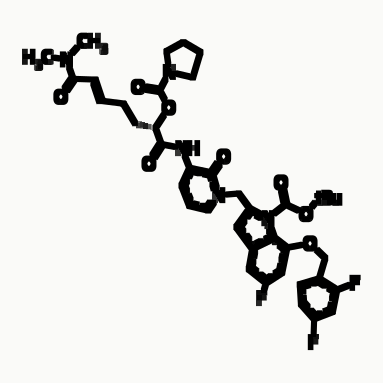 CN(C)C(=O)/C=C/CC[C@H](OC(=O)N1CCCC1)C(=O)Nc1cccn(Cc2cc3cc(F)cc(OCc4ccc(F)cc4F)c3n2C(=O)OC(C)(C)C)c1=O